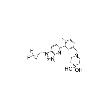 Cc1ccc(CN2CCS(O)(O)CC2)cc1-c1ccc2c(n1)N(C)SN2CC1CC1(F)F